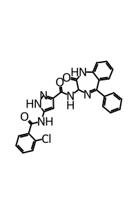 O=C(NC1N=C(c2ccccc2)c2ccccc2NC1=O)c1cc(NC(=O)c2ccccc2Cl)[nH]n1